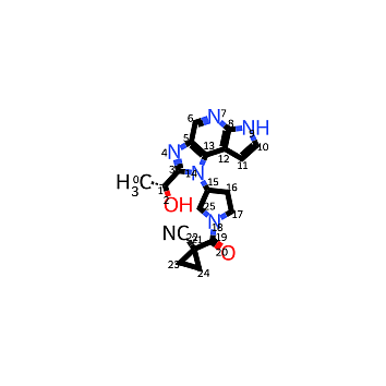 C[C@@H](O)c1nc2cnc3[nH]ccc3c2n1C1CCN(C(=O)C2(C#N)CC2)C1